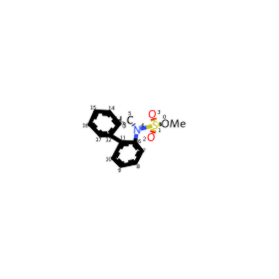 COS(=O)(=O)N(C)c1ccccc1-c1ccccc1